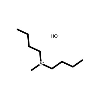 CCCC[S+](C)CCCC.[OH-]